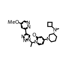 COc1cnnc(-c2cn(C(C)n3ccc(N4CCC[C@@H](N(C)C5CCC5)C4)cc3=O)nn2)c1